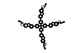 C#CCOC1=CC2Cc3cc(-c4ccc(C(c5ccc(-c6ccc7c(c6)Cc6cc(OCC#C)ccc6-7)cc5)(c5ccc(-c6ccc7c(c6)Cc6cc(OCC#C)ccc6-7)cc5)c5ccc(-c6ccc7c(c6)Cc6cc(OCC#C)ccc6-7)cc5)cc4)ccc3C2C=C1